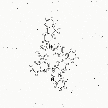 CC1(C)c2ccccc2-c2ccc(N(c3ccc(-c4ccccc4)cc3)c3cccc(-c4nc(-n5c6ccccc6n6c7ccccc7nc56)nc5ccccc45)c3)cc21